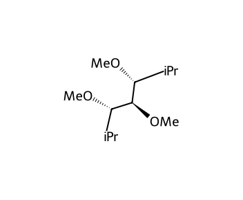 CO[C@H]([C@H](OC)C(C)C)[C@@H](OC)C(C)C